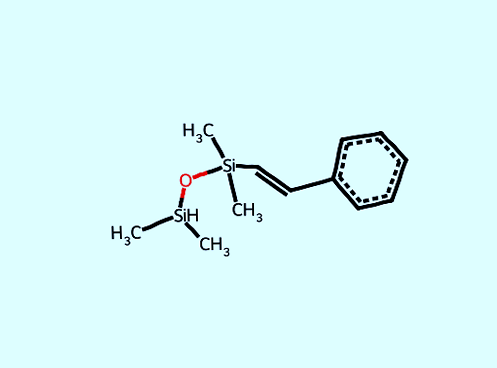 C[SiH](C)O[Si](C)(C)C=Cc1ccccc1